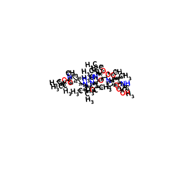 CC[C@H](C)[C@@H]([C@@H](CC(=O)N1CCC[C@H]1[C@H](OC)[C@@H](C)C(=O)N[C@@H](C)C(=O)O)OC)N(C)C(=O)[C@@H](NC(=O)[C@@H](NCCCCN(C)C(=O)OC(C)(C)C)C(C)C)C(C)C